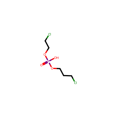 O=P(O)(OCCCl)OCCCCl